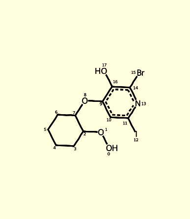 OOC1CCCCC1Oc1cc(I)nc(Br)c1O